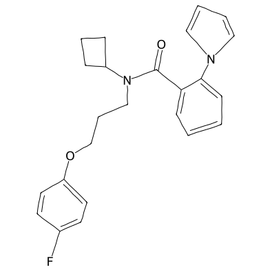 O=C(c1ccccc1-n1cccc1)N(CCCOc1ccc(F)cc1)C1CCC1